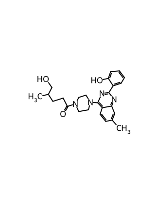 Cc1ccc2c(N3CCN(C(=O)CCC(C)CO)CC3)nc(-c3ccccc3O)nc2c1